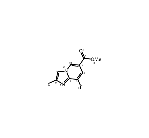 COC(=O)c1cc(F)c2nc(C)cn2c1